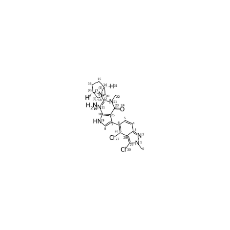 Cn1nc2ccc(-c3c[nH]c4nc(N5[C@H]6CC[C@@H]5[C@@H](N)C6)n(C)c(=O)c34)c(Cl)c2c1Cl